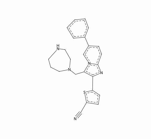 N#Cc1ccc(-c2nc3ccc(-c4ccccc4)cn3c2CN2CCCNCC2)s1